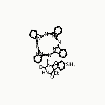 CCC1(c2ccccc2)C(=O)NC(=O)NC1=O.[SiH4].c1ccc2c(c1)-c1nc-2nc2[nH]c(nc3nc(nc4[nH]c(n1)c1ccccc41)-c1ccccc1-3)c1ccccc21